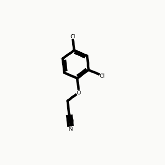 N#CCOc1c[c]c(Cl)cc1Cl